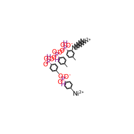 Cc1ccc([PH]([O-])([O-])[O-])cc1.Cc1ccc([PH]([O-])([O-])[O-])cc1.Cc1ccc([PH]([O-])([O-])[O-])cc1.Cc1ccc([PH]([O-])([O-])[O-])cc1.[Ni+2].[Ni+2].[Ni+2].[Ni+2].[Ni+2].[Ni+2]